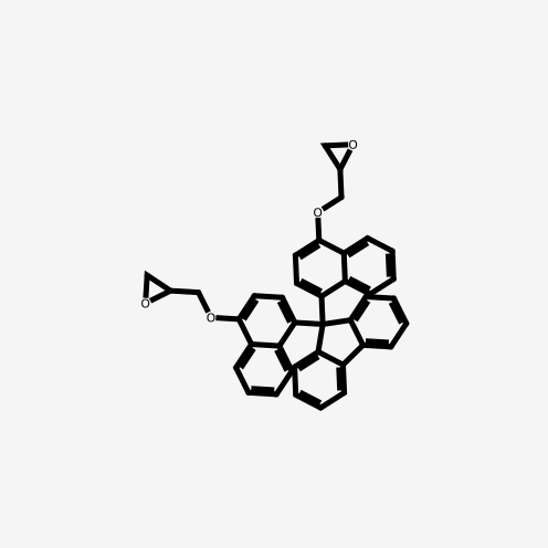 c1ccc2c(c1)-c1ccccc1C2(c1ccc(OCC2CO2)c2ccccc12)c1ccc(OCC2CO2)c2ccccc12